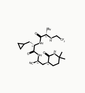 CC1(C)CC[C@@H](C[C@@H](C#N)NC(=O)[C@H](CC2CC2)NC(=O)[C@@H](NCC(F)(F)F)C(C)(C)C)C(=O)N1